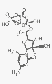 C#CC1(F)[C@@H](O)[C@@H]([C@@H](C)OP(=O)(O)OP(=O)(O)OP(=O)(O)O)O[C@H]1n1c(C)cc(N)nc1=O